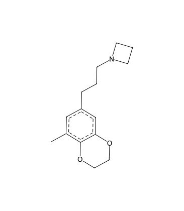 Cc1cc(CCCN2CCC2)cc2c1OCCO2